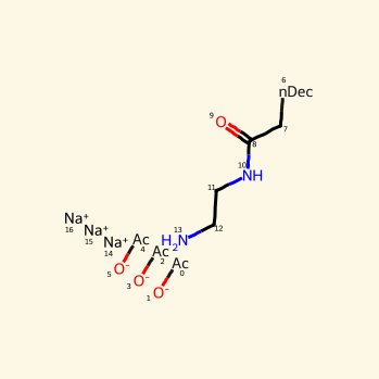 CC(=O)[O-].CC(=O)[O-].CC(=O)[O-].CCCCCCCCCCCC(=O)NCCN.[Na+].[Na+].[Na+]